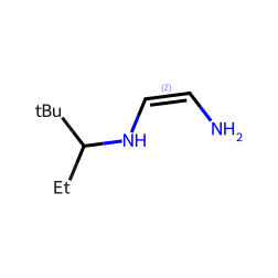 CCC(N/C=C\N)C(C)(C)C